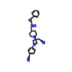 N#CCC1(N2CCC(CNC3CC3c3ccccc3)CC2)CN(c2ccc(C#N)cc2)C1